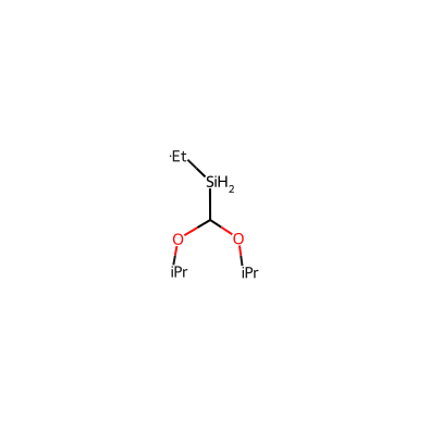 C[CH][SiH2]C(OC(C)C)OC(C)C